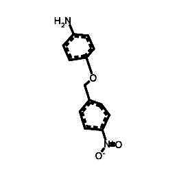 Nc1ccc(OCc2ccc([N+](=O)[O-])cc2)cc1